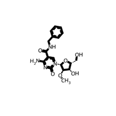 CO[C@@H]1[C@@H](O)[C@@H](CO)O[C@H]1n1cc(C(=O)NCc2ccccc2)c(N)nc1=O